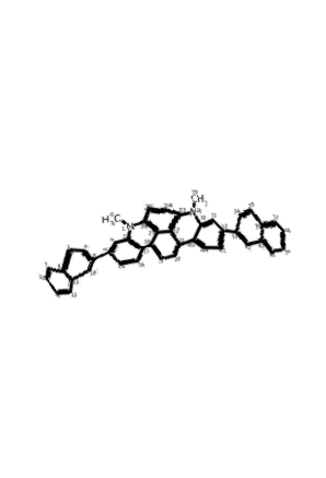 CN1c2cc(C3=CC=C4C=CC=CC4C3)ccc2-c2ccc3c4c(ccc1c24)N(C)c1cc(-c2ccc4ccccc4c2)ccc1-3